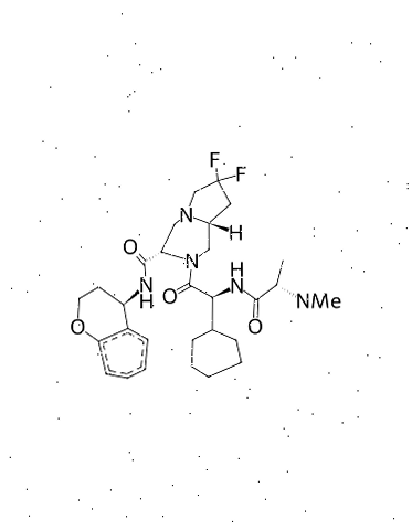 CN[C@@H](C)C(=O)N[C@H](C(=O)N1C[C@H]2CC(F)(F)CN2C[C@H]1C(=O)N[C@@H]1CCOc2ccccc21)C1CCCCC1